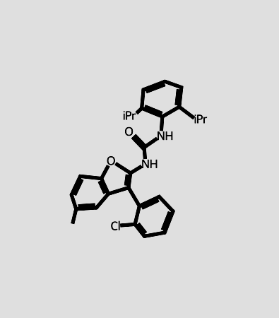 Cc1ccc2oc(NC(=O)Nc3c(C(C)C)cccc3C(C)C)c(-c3ccccc3Cl)c2c1